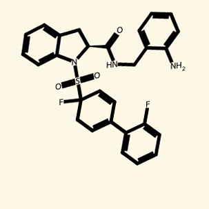 Nc1ccccc1CNC(=O)[C@@H]1Cc2ccccc2N1S(=O)(=O)C1(F)C=CC(c2ccccc2F)=CC1